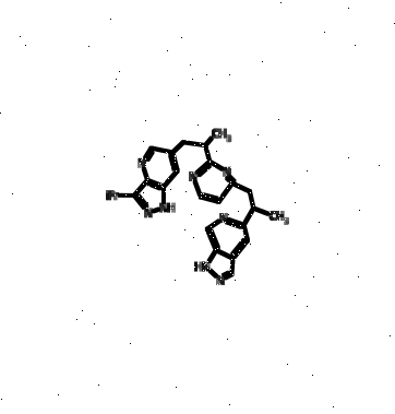 CC(C)c1n[nH]c2cc(CC(C)c3nccc(CC(C)c4cc5cn[nH]c5cn4)n3)cnc12